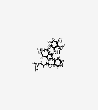 CNCCCOc1cnccc1-c1[nH]c2c(c1Nc1cccc(Cl)c1OC)C(=O)NCC2